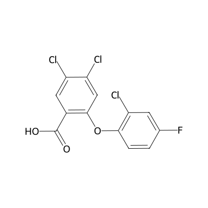 O=C(O)c1cc(Cl)c(Cl)cc1Oc1ccc(F)cc1Cl